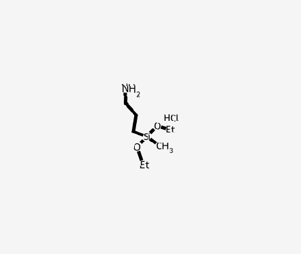 CCO[Si](C)(CCCN)OCC.Cl